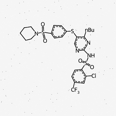 CCCCc1nc(NS(=O)(=O)c2ccc(C(F)(F)F)cc2Cl)ncc1Sc1ccc(S(=O)(=O)N2CCCCC2)cc1